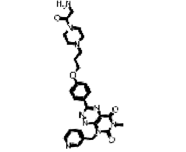 Cn1c(=O)c2nc(-c3ccc(OCCCN4CCN(C(=O)CN)CC4)cc3)nnc2n(Cc2cccnc2)c1=O